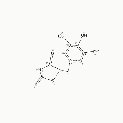 CCCc1cc(CC2SC(=S)NC2=O)cc(C(C)(C)C)c1O